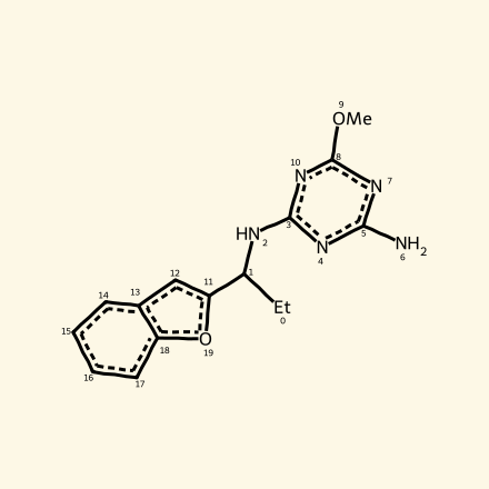 CCC(Nc1nc(N)nc(OC)n1)c1cc2ccccc2o1